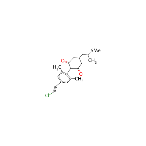 CSC(C)CC1CC(=O)C(c2c(C)cc(C#CCl)cc2C)C(=O)C1